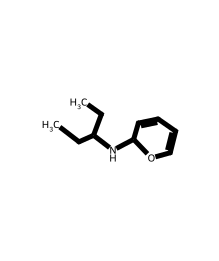 CCC(CC)N[C]1C=CC=CO1